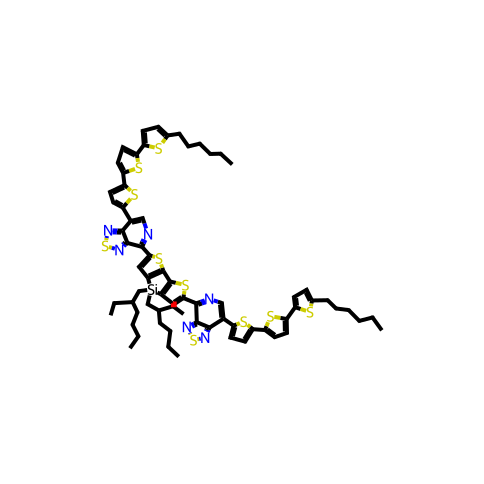 CCCCCCc1ccc(-c2ccc(-c3ccc(-c4cnc(-c5cc6c(s5)-c5sc(-c7ncc(-c8ccc(-c9ccc(-c%10ccc(CCCCCC)s%10)s9)s8)c8nsnc78)cc5[Si]6(CC(CC)CCCC)CC(CC)CCCC)c5nsnc45)s3)s2)s1